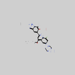 CNC(=O)c1cc(-c2cc3cn(C)nc3c(C)c2O)nc2c(F)cc(N3CCNCC3)cc12